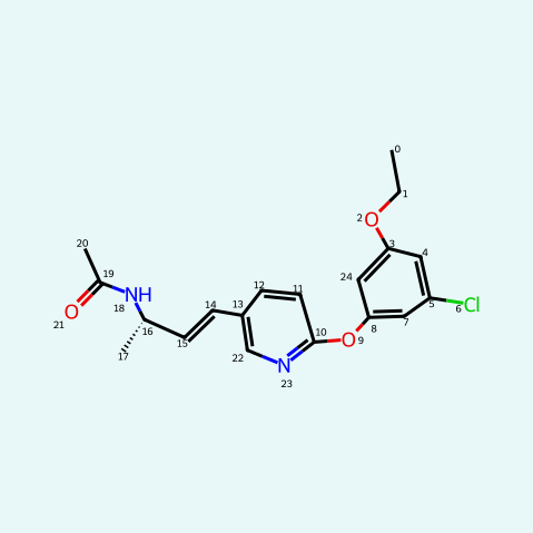 CCOc1cc(Cl)cc(Oc2ccc(/C=C/[C@H](C)NC(C)=O)cn2)c1